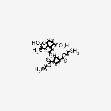 C=CCOC(=O)c1ccc(C(=O)OCC=C)cc1.C=CCc1c(C(=O)O)ccc(C(=O)O)c1CC=C